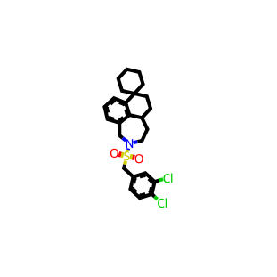 O=S(=O)(Cc1ccc(Cl)c(Cl)c1)N1CCC2CCC3(CCCCC3)c3cccc(c32)C1